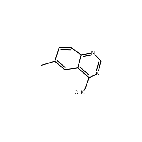 Cc1ccc2ncnc(C=O)c2c1